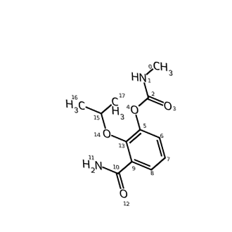 CNC(=O)Oc1cccc(C(N)=O)c1OC(C)C